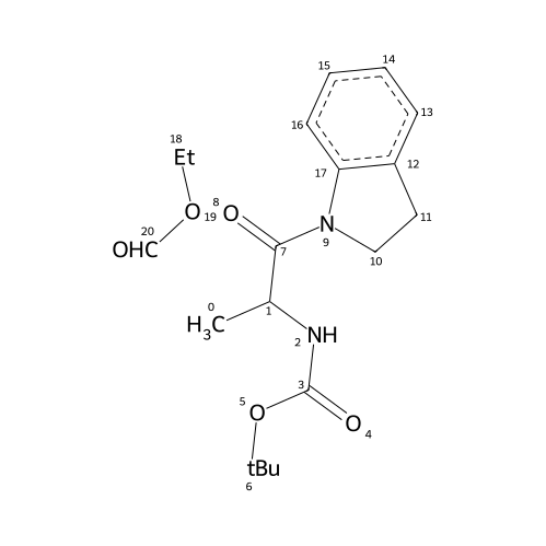 CC(NC(=O)OC(C)(C)C)C(=O)N1CCc2ccccc21.CCOC=O